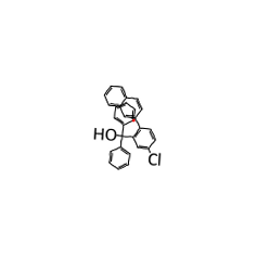 OC(c1ccccc1)(c1ccccc1)c1cc(Cl)ccc1-c1ccc2ccccc2c1